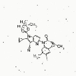 CC#CC(=O)N(c1ccc2c(n1)c(C#N)c(C1CC1)n2C(=O)OC(C)(C)C)c1cc(C)c(I)cc1C1CC1